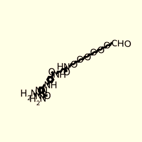 N/C=N\c1ncc(CNc2ccc(C(=O)NCCCC(=O)NCCOCCOCCOCCOCCOCCOCCC=O)cc2)nc1C(N)=O